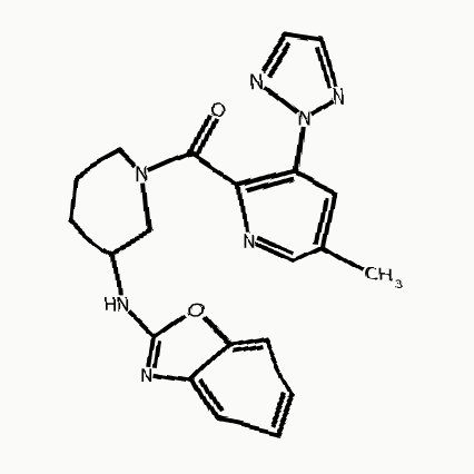 Cc1cnc(C(=O)N2CCCC(Nc3nc4ccccc4o3)C2)c(-n2nccn2)c1